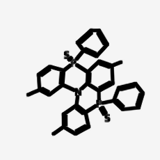 Cc1ccc2c(c1)N1c3cc(C)ccc3P(=S)(c3ccccc3)c3cc(C)cc(c31)P2(=S)c1ccccc1